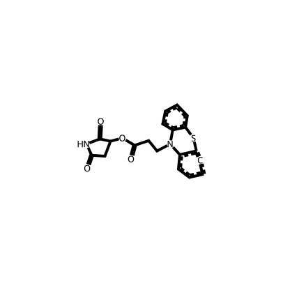 O=C1CC(OC(=O)CCN2c3ccccc3Sc3ccccc32)C(=O)N1